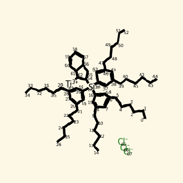 CCCCCCc1cc(CCCCCC)cc([Si](c2cc(CCCCCC)cc(CCCCCC)c2)(c2cc(CCCCCC)cc(CCCCCC)c2)C2CC3C=CC=CC3[CH]2[Ti+3])c1.[Cl-].[Cl-].[Cl-]